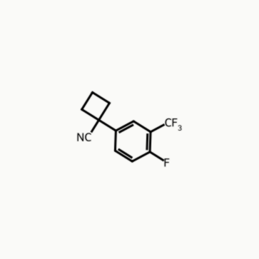 N#CC1(c2ccc(F)c(C(F)(F)F)c2)CCC1